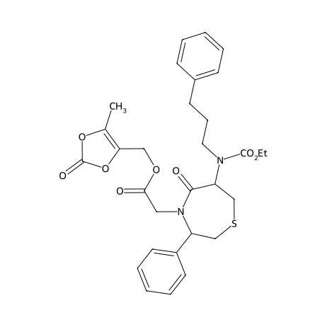 CCOC(=O)N(CCCc1ccccc1)C1CSCC(c2ccccc2)N(CC(=O)OCc2oc(=O)oc2C)C1=O